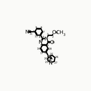 COCCn1c(-c2cccc(C#N)c2)nc2ccc(N3CCN4CCC3CC4)cc2c1=O